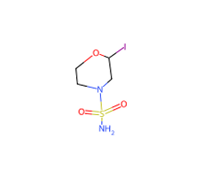 NS(=O)(=O)N1CCOC(I)C1